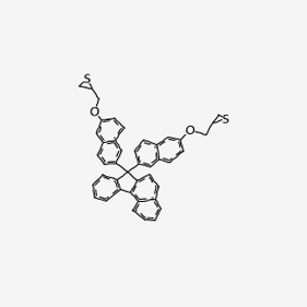 c1ccc2c(c1)-c1c(ccc3ccccc13)C2(c1ccc2cc(OCC3CS3)ccc2c1)c1ccc2cc(OCC3CS3)ccc2c1